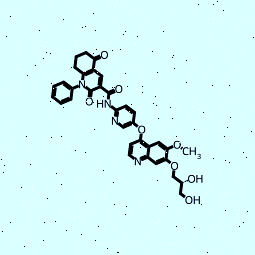 COc1cc2c(Oc3ccc(NC(=O)c4cc5c(n(-c6ccccc6)c4=O)CCCC5=O)nc3)ccnc2cc1OC[C@H](O)CO